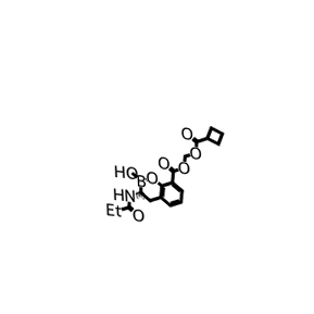 CCC(=O)N[C@H]1Cc2cccc(C(=O)OCOC(=O)C3CCC3)c2OB1O